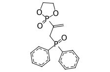 C=C(CP(=O)(c1ccccc1)c1ccccc1)P1(=O)OCCO1